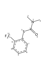 CN(C)C(=O)Sc1ccccc1C(F)(F)F